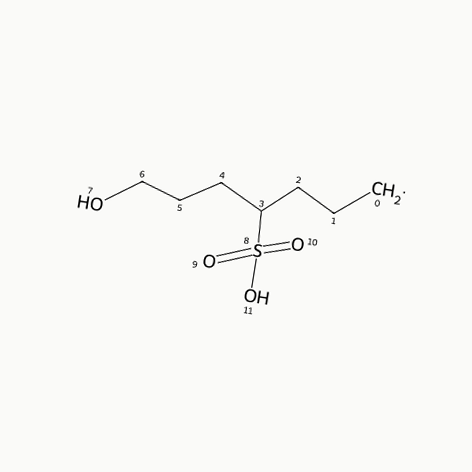 [CH2]CCC(CCCO)S(=O)(=O)O